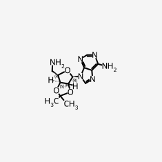 CC1(C)O[C@@H]2[C@@H](O1)[C@@H](CN)O[C@H]2n1cnc2c(N)ncnc21